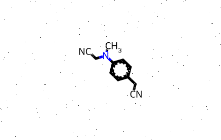 CN(CC#N)c1ccc(CC#N)cc1